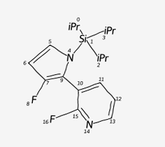 CC(C)[Si](C(C)C)(C(C)C)n1ccc(F)c1-c1cccnc1F